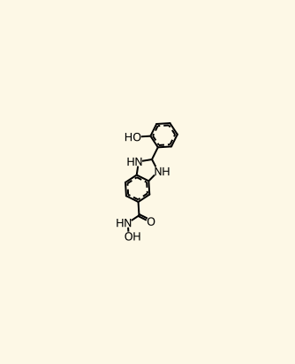 O=C(NO)c1ccc2c(c1)NC(c1ccccc1O)N2